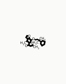 Cc1cc(=O)c2c(C)c3ccoc3c(OCCC(C)(C)c3ccccc3)c2o1